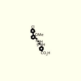 COc1c(C=NNC(=S)Nc2ccc(C(=O)O)cc2)cccc1-c1ccc(Cl)cc1